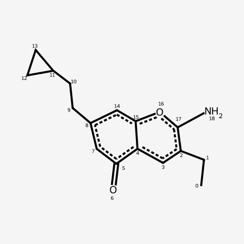 CCc1cc2c(=O)cc(CCC3CC3)cc-2oc1N